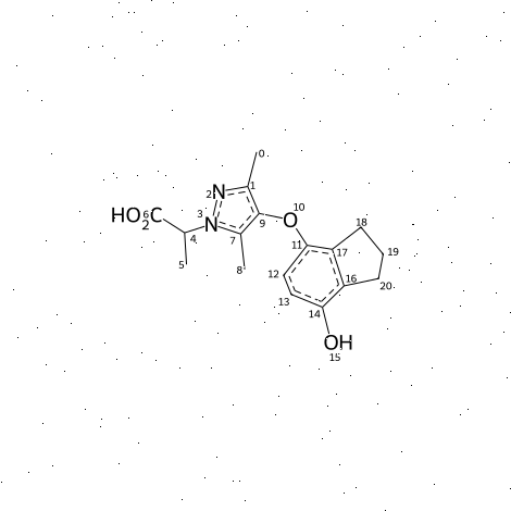 Cc1nn(C(C)C(=O)O)c(C)c1Oc1ccc(O)c2c1CCC2